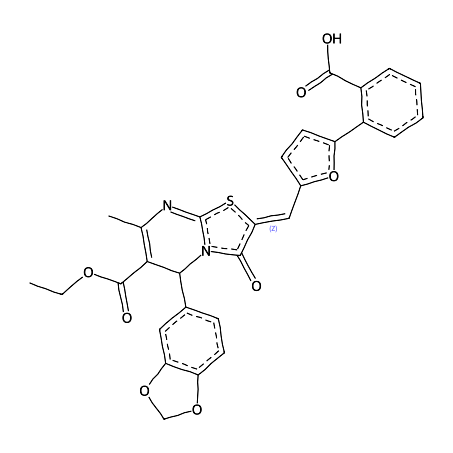 CCOC(=O)C1=C(C)N=c2s/c(=C\c3ccc(-c4ccccc4C(=O)O)o3)c(=O)n2C1c1ccc2c(c1)OCO2